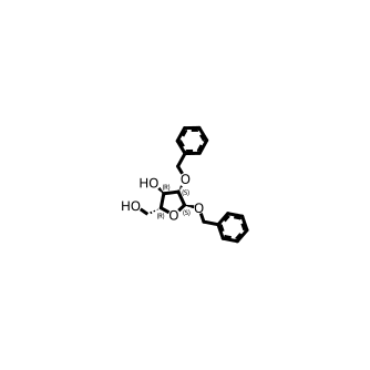 OC[C@H]1O[C@H](OCc2ccccc2)[C@@H](OCc2ccccc2)[C@@H]1O